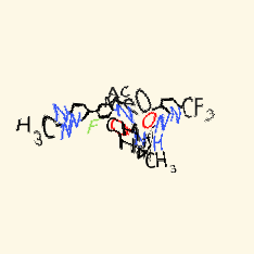 COCc1ccc(C(F)(F)F)nc1NC(=O)[C@@H]1C[C@@]2(C)C[C@H]2N1C(=O)Cn1cc(C(C)=O)c2cc(-c3ccc4nc(C)nn4c3)c(F)c(C)c21